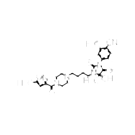 Cc1cc(C(=O)N2CCN(CCCCN3C(=S)N(c4ccc(C#N)c(C(F)(F)F)c4)C(=O)C3(C)C)CC2)no1